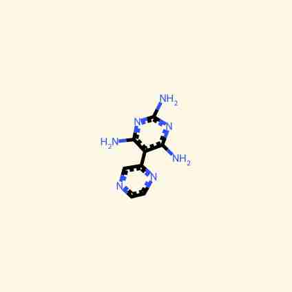 Nc1nc(N)c(-c2cnccn2)c(N)n1